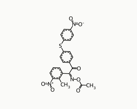 CC(=O)O/N=C(\C(=O)c1ccc(Sc2ccc([N+](=O)[O-])cc2)cc1)c1cccc([N+](=O)[O-])c1C